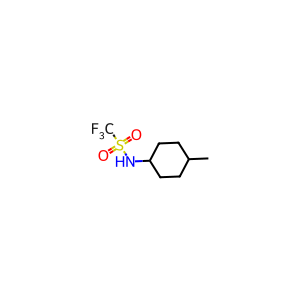 CC1CCC(NS(=O)(=O)C(F)(F)F)CC1